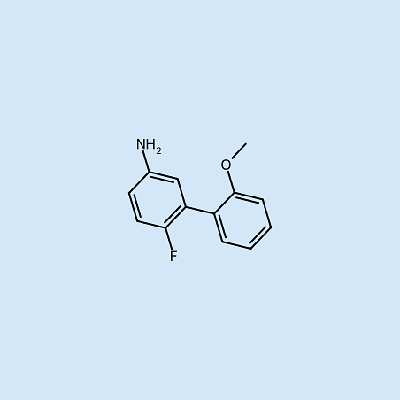 COc1ccccc1-c1cc(N)ccc1F